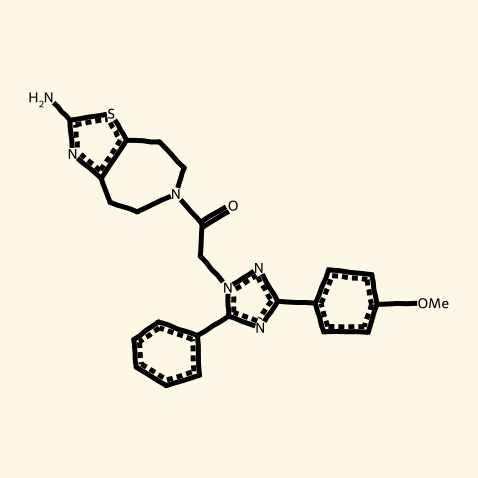 COc1ccc(-c2nc(-c3ccccc3)n(CC(=O)N3CCc4nc(N)sc4CC3)n2)cc1